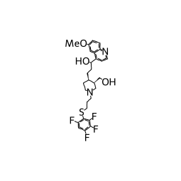 COc1ccc2nccc(C(O)CC[C@@H]3CCN(CCCSc4c(F)cc(F)c(F)c4F)C[C@@H]3CO)c2c1